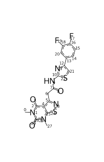 Cn1c(=O)c2c(CC(=O)Nc3nc(-c4ccc(F)c(F)c4)cs3)nsc2n(C)c1=O